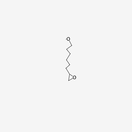 [O]CCCCCCC1CO1